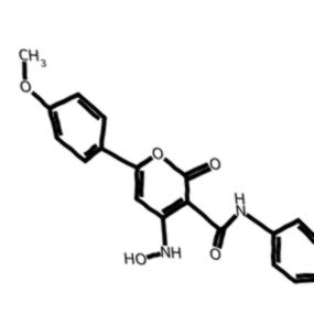 COc1ccc(-c2cc(NO)c(C(=O)Nc3ccccc3)c(=O)o2)cc1